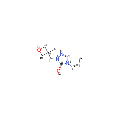 C/C=C\n1cnn(CC2(C)COC2)c1=O